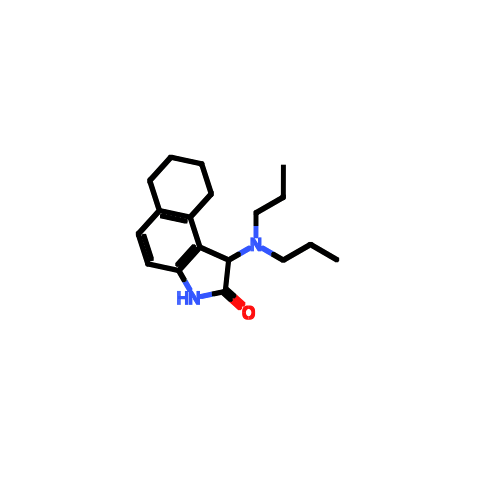 CCCN(CCC)C1C(=O)Nc2ccc3c(c21)CCCC3